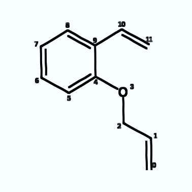 C=CCOc1ccccc1C=C